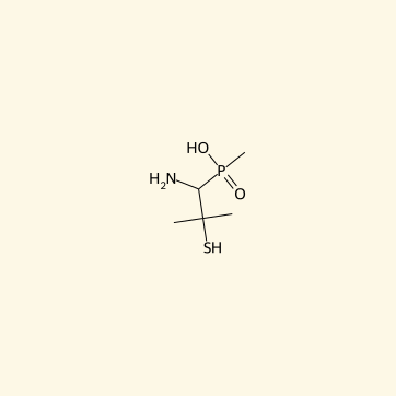 CC(C)(S)C(N)P(C)(=O)O